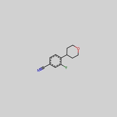 N#Cc1ccc(C2CCOCC2)c(F)c1